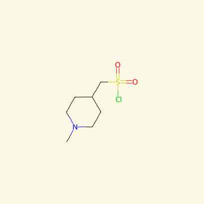 CN1CCC(CS(=O)(=O)Cl)CC1